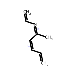 C=C/C=C\C(C)=N/C=C